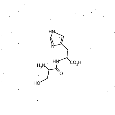 NC(CO)C(=O)NC(Cc1c[nH]cn1)C(=O)O